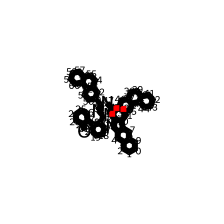 c1ccc2cc3c(cc2c1)c1ccccc1n3-c1ccc2oc3ccccc3c2c1-c1nc(-c2ccc3c(ccc4ccccc43)c2)nc(-c2ccc3c(ccc4ccccc43)c2)n1